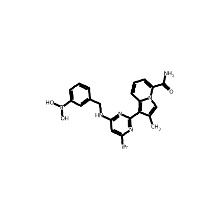 Cc1cn2c(C(N)=O)cccc2c1-c1nc(NCc2cccc(B(O)O)c2)cc(C(C)C)n1